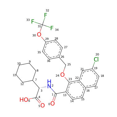 O=C(N[C@H](C(=O)O)C1CCCCC1)c1ccc2ccc(Cl)cc2c1OCc1ccc(OC(F)(F)F)cc1